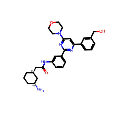 N[C@H]1CCC[C@@H](CC(=O)Nc2cccc(-c3nc(-c4cccc(CO)c4)cc(N4CCOCC4)n3)c2)C1